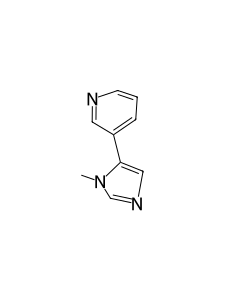 Cn1cncc1-c1cccnc1